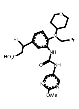 CCC(CC(=O)O)c1ccc(N(CC(C)C)C2CCOCC2)c(NC(=O)Nc2cnc(OC)nc2)c1